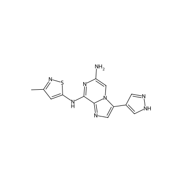 Cc1cc(Nc2nc(N)cn3c(-c4cn[nH]c4)cnc23)sn1